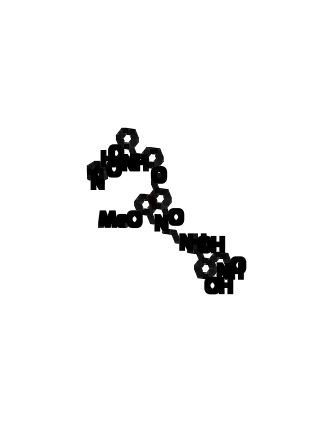 COc1ccccc1CN(CCCNC[C@H](O)c1ccc(O)c2[nH]c(=O)ccc12)C(=O)c1ccc(COc2cccc([C@@H](NC(=O)O[C@H]3CN4CCC3CC4)c3ccccc3)c2)cc1